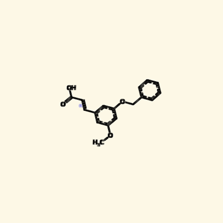 COc1cc(/C=C/C(=O)O)cc(OCc2ccccc2)c1